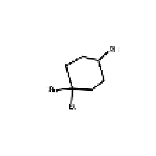 CCC1(C(C)(C)C)CCC(O)CC1